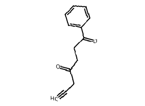 C#CCC(=O)CCC(=O)c1ccccc1